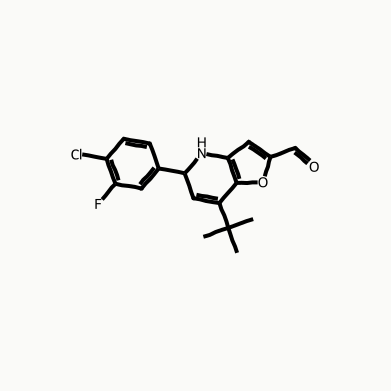 CC(C)(C)C1=CC(c2ccc(Cl)c(F)c2)Nc2cc(C=O)oc21